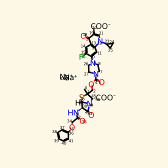 CC1(COC(=O)N2CCN(c3cc4c(cc3F)c(=O)c(C(=O)[O-])cn4C3CC3)CC2)S[C@@H]2[C@H](NC(=O)COc3ccccc3)C(=O)N2[C@H]1C(=O)[O-].[Na+].[Na+]